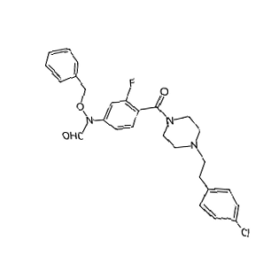 O=CN(OCc1ccccc1)c1ccc(C(=O)N2CCN(CCc3ccc(Cl)cc3)CC2)c(F)c1